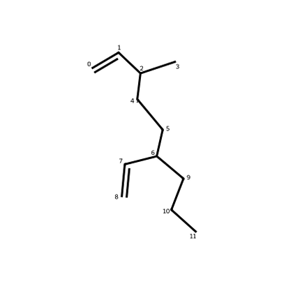 C=CC(C)[CH]CC(C=C)CCC